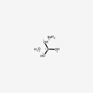 O.OB(O)O.[BaH2]